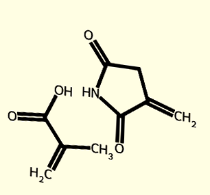 C=C(C)C(=O)O.C=C1CC(=O)NC1=O